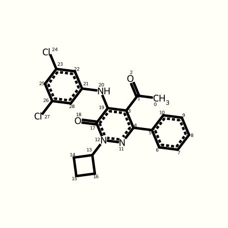 CC(=O)c1c(-c2ccccc2)nn(C2CCC2)c(=O)c1Nc1cc(Cl)cc(Cl)c1